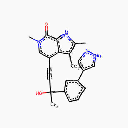 CCOC(=O)c1c(C)[nH]c2c(=O)n(C)cc(C#CC(O)(c3cccc(-c4cn[nH]c4)c3)C(F)(F)F)c12